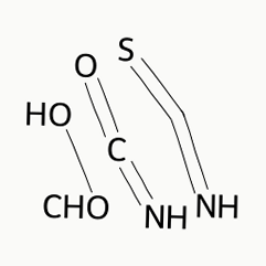 N=C=O.N=C=S.O=CO